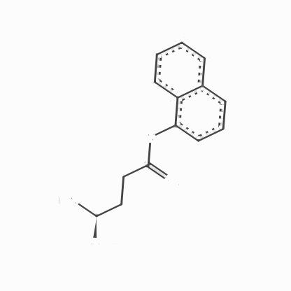 N[C@@H](CCC(=O)Nc1cccc2ccccc12)C(=O)O